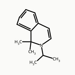 CC(C)N1C=Cc2ccccc2C1(C)C